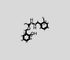 C[C@@H](NNCC1=CC=CC[C@@H]1C)OCc1ccccc1O